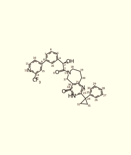 O=C([C@H](O)c1cccc(-c2ccnc(C(F)(F)F)c2)c1)N1CCCc2nc(C3(c4ccccc4)CC3)[nH]c(=O)c2C1